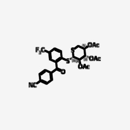 CC(=O)O[C@@H]1[C@@H](OC(C)=O)[C@H](Sc2ccc(C(F)(F)F)cc2C(=O)c2ccc(C#N)cc2)SC[C@H]1OC(C)=O